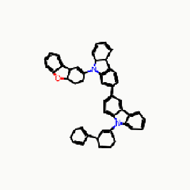 C1=CC2c3ccc(-c4ccc5c(c4)c4ccccc4n5C4=CC(C5=CCCC=C5)CCC4)cc3N(C3=CC4c5ccccc5OC4CC3)C2C=C1